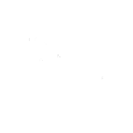 COC(=O)NC(I)c1ccc(F)c(F)c1